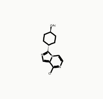 CC(=O)O[C@H]1CC[C@H](c2ncc3c(Cl)nccn32)CC1